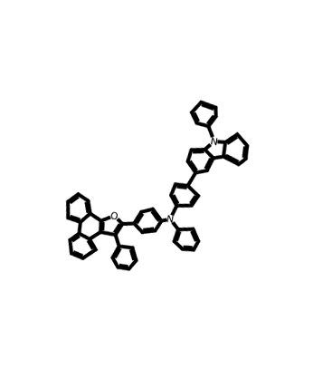 c1ccc(-c2c(-c3ccc(N(c4ccccc4)c4ccc(-c5ccc6c(c5)c5ccccc5n6-c5ccccc5)cc4)cc3)oc3c4ccccc4c4ccccc4c23)cc1